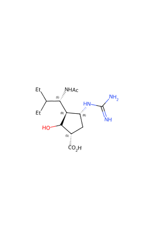 CCC(CC)[C@H](NC(C)=O)[C@@H]1C(O)[C@@H](C(=O)O)C[C@H]1NC(=N)N